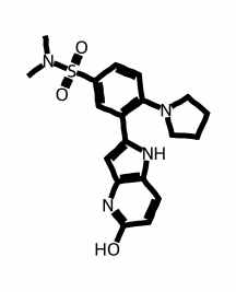 CN(C)S(=O)(=O)c1ccc(N2CCCC2)c(-c2cc3nc(O)ccc3[nH]2)c1